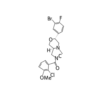 COc1cccc(C(=O)N2CCN3C[C@@H](c4ccc(F)c(Br)c4)OC[C@@H]3C2)c1Cl